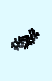 CC[C@@H](Nc1ncc2n(c1=O)[C@H](C(=O)O)CC2)c1ccccc1